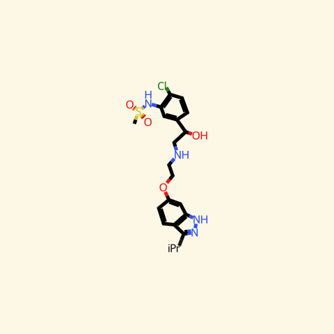 CC(C)c1n[nH]c2cc(OCCNCC(O)c3ccc(Cl)c(NS(C)(=O)=O)c3)ccc12